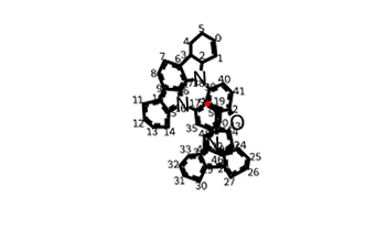 C1=CC2C(CC1)c1ccc3c4ccccc4n(-c4cccc(-n5c6ccccc6c6ccccc65)c4)c3c1N2c1ccc2oc3ccccc3c2c1